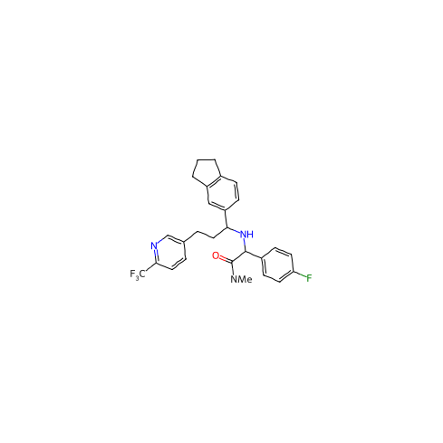 CNC(=O)C(NC(CCc1ccc(C(F)(F)F)nc1)c1ccc2c(c1)CCC2)c1ccc(F)cc1